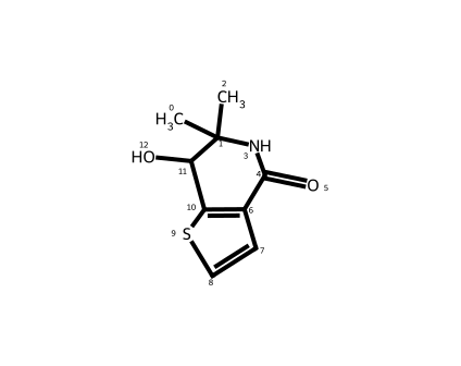 CC1(C)NC(=O)c2ccsc2C1O